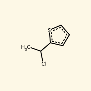 CC(Cl)c1cccs1